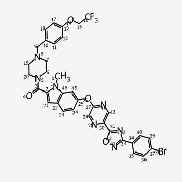 Cn1c(C(=O)N2CCN(Cc3ccc(OCC(F)(F)F)cc3)CC2)cc2ccc(Oc3cnc(-c4nc(-c5ccc(Br)cc5)no4)cn3)cc21